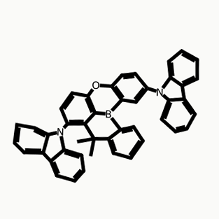 CC1(C)c2ccccc2B2c3cc(-n4c5ccccc5c5ccccc54)ccc3Oc3ccc(-n4c5ccccc5c5ccccc54)c1c32